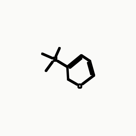 C[Si](C)(C)C1=CC=COC1